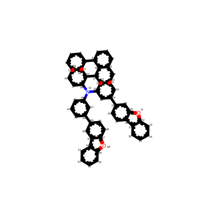 c1ccc(-c2cccc3cccc(-c4ccccc4N(c4cccc(-c5ccc6c(c5)oc5ccccc56)c4)c4cccc(-c5ccc6oc7ccccc7c6c5)c4)c23)cc1